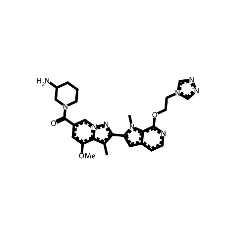 COc1cc(C(=O)N2CCCC(N)C2)cn2nc(-c3cc4ccnc(OCCn5cnnc5)c4n3C)c(C)c12